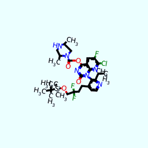 CC1CN(C(=O)Oc2nc(=O)n(-c3c(CCC(F)(F)CO[Si](C)(C)C(C)(C)C)ccnc3C(C)C)c3nc(Cl)c(F)cc23)C(C)CN1